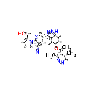 Cc1cnnc(C)c1C(C)Oc1ccc2[nH]nc(-c3cnc(N4CCC[C@H]4CO)c(C#N)c3)c2c1